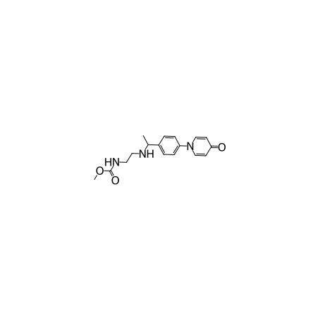 COC(=O)NCCNC(C)c1ccc(-n2ccc(=O)cc2)cc1